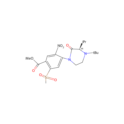 COC(=O)c1cc([N+](=O)[O-])c(N2CCN(C(C)(C)C)[C@H](C(C)C)C2=O)cc1S(C)(=O)=O